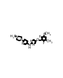 COc1cc(C)c(F)c(COc2cnc(Nc3ccc(N4CCN(C)CC4)nc3)nc2)c1F